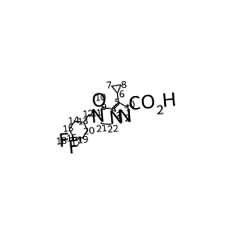 O=C(O)c1nn2c(c1C1CC1)C(=O)N(CC1CCC(F)(F)CC1)CC2